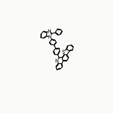 c1ccc(-c2nc3ccccc3n2-c2ccc(-c3ccc(-c4nc5ccccc5c5ccc6c7ccccc7sc6c45)cc3)cc2)cc1